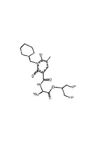 CCc1c(C)cc(C(=O)NC(C(=O)OC(CO)CO)C(C)(C)C)c(=O)n1CC1CCCCC1